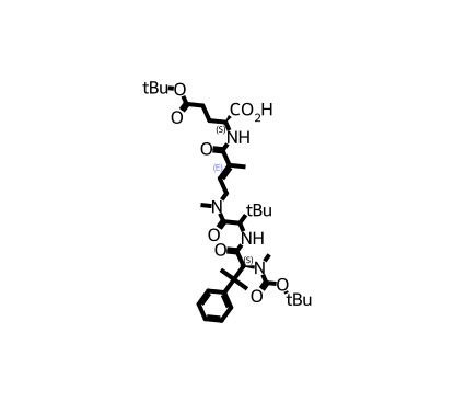 C/C(=C\CN(C)C(=O)C(NC(=O)[C@@H](N(C)C(=O)OC(C)(C)C)C(C)(C)c1ccccc1)C(C)(C)C)C(=O)N[C@@H](CCC(=O)OC(C)(C)C)C(=O)O